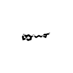 FC1CN(CCCOc2ccn3ccnc3c2)C1